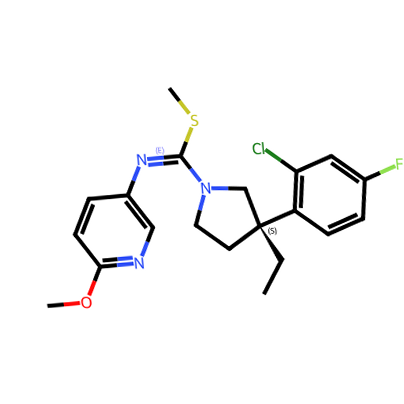 CC[C@@]1(c2ccc(F)cc2Cl)CCN(/C(=N\c2ccc(OC)nc2)SC)C1